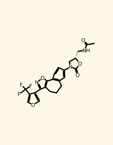 CC(=O)NC[C@H]1CN(c2ccc3c(c2)CCCc2c(-c4cocc4C(F)(F)F)noc2-3)C(=O)O1